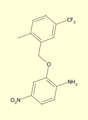 Cc1ccc(C(F)(F)F)cc1COc1cc([N+](=O)[O-])ccc1N